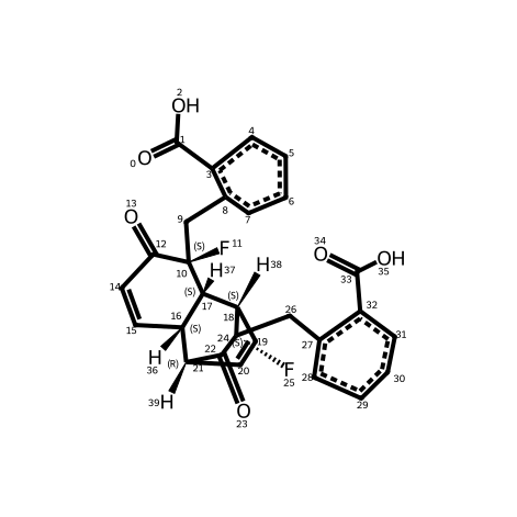 O=C(O)c1ccccc1C[C@@]1(F)C(=O)C=C[C@@H]2[C@H]1[C@@H]1C=C[C@H]2C(=O)[C@]1(F)Cc1ccccc1C(=O)O